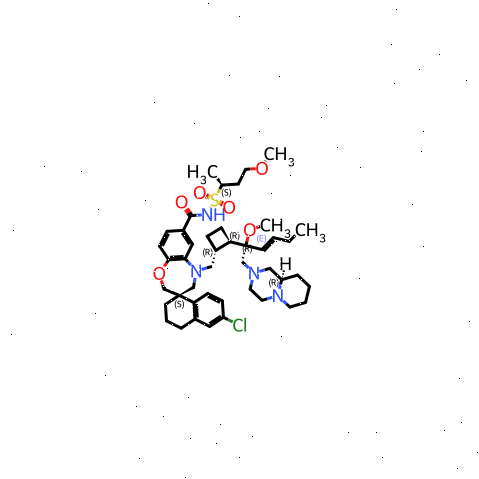 CC/C=C/[C@](CN1CCN2CCCC[C@@H]2C1)(OC)[C@@H]1CC[C@H]1CN1C[C@@]2(CCCc3cc(Cl)ccc32)COc2ccc(C(=O)NS(=O)(=O)[C@@H](C)CCOC)cc21